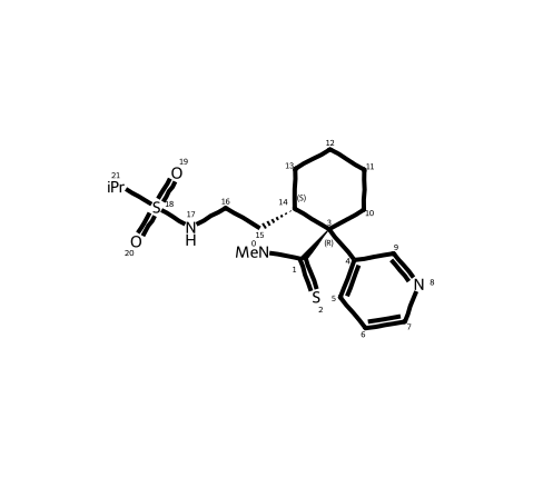 CNC(=S)[C@]1(c2cccnc2)CCCC[C@H]1CCNS(=O)(=O)C(C)C